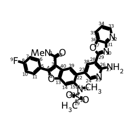 CNC(=O)c1c(-c2ccc(F)cc2)oc2cc(N(C)S(C)(=O)=O)c(-c3cnc(N)c(-c4nc5ncccc5o4)c3)cc12